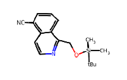 CC(C)(C)[Si](C)(C)OCc1nccc2c(C#N)cccc12